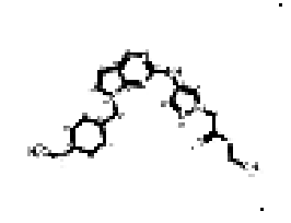 CCOC(=O)Cn1cc(Nc2ncc3ccn(CC4CCC(OC)CC4)c3n2)cn1